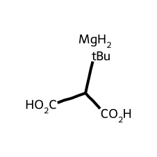 CC(C)(C)C(C(=O)O)C(=O)O.[MgH2]